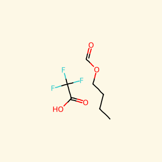 CCCCOC=O.O=C(O)C(F)(F)F